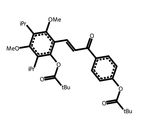 COc1c(C=CC(=O)c2ccc(OC(=O)C(C)(C)C)cc2)c(OC(=O)C(C)(C)C)c(C(C)C)c(OC)c1C(C)C